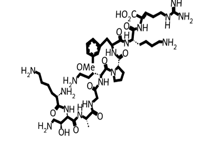 COc1cccc(CC(NC(=O)[C@@H]2CCCN2C(=O)[C@@H](CCCN)NC(=O)CNC(=O)[C@H](C)NC(=O)[C@@H](NC(=O)[C@@H](N)CCCCN)[C@@H](O)CN)C(=O)N[C@@H](CCCCN)C(=O)N/C(=C\CCNC(=N)N)C(=O)O)c1